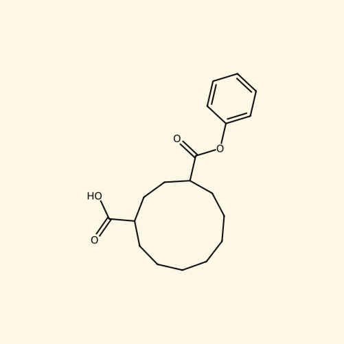 O=C(O)C1CCCCCCCC(C(=O)Oc2ccccc2)CC1